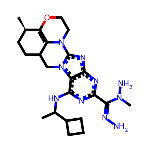 CC(Nc1nc(/C(=N/N)N(C)N)nc2nc3n(c12)CC1CC[C@@H](C)C2=C1N3CCO2)C1CCC1